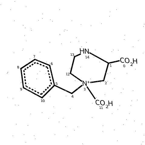 O=C(O)C1C[N+](Cc2ccccc2)(C(=O)O)CCN1